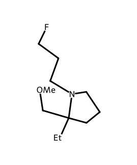 CCC1(COC)CCCN1CCCF